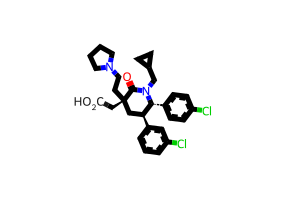 O=C(O)C[C@]1(CCN2CCCC2)C[C@H](c2cccc(Cl)c2)[C@@H](c2ccc(Cl)cc2)N(CC2CC2)C1=O